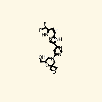 N=C(/C=C\c1ncc(-c2cc(N3CC(CO)OC4(COC4)C3)ncn2)[nH]1)C(F)F